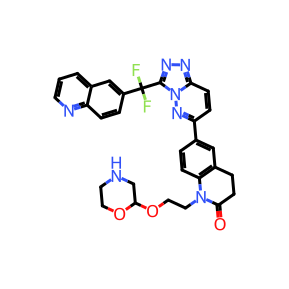 O=C1CCc2cc(-c3ccc4nnc(C(F)(F)c5ccc6ncccc6c5)n4n3)ccc2N1CCOC1CNCCO1